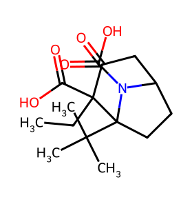 CCC1(C(=O)O)C(=O)CC2CCC1(C(C)(C)C)N2C(=O)O